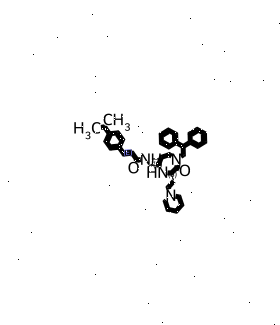 CC(C)c1ccc(/C=C/C(=O)NC[C@@H]2CCN(CC(c3ccccc3)c3ccccc3)C(=O)[C@H](CCN3CCCCC3)N2)cc1